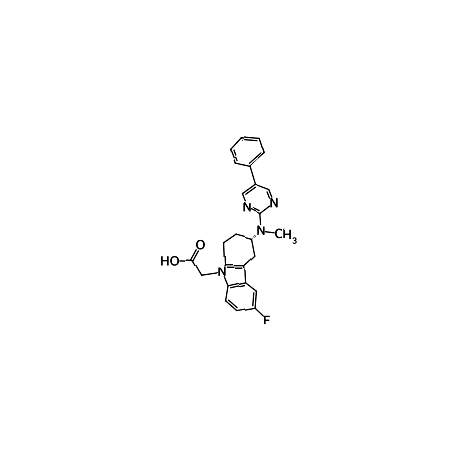 CN(c1ncc(-c2ccccc2)cn1)[C@H]1CCc2c(c3cc(F)ccc3n2CC(=O)O)C1